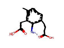 Cc1ccc(CC(=O)O)c(N)c1CC(=O)O